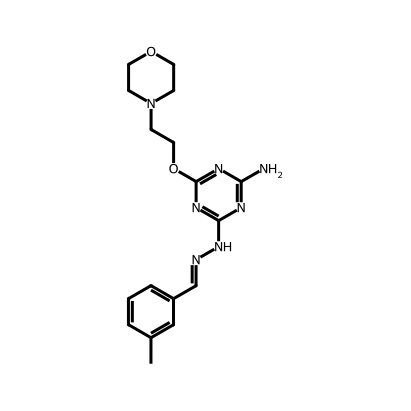 Cc1cccc(/C=N/Nc2nc(N)nc(OCCN3CCOCC3)n2)c1